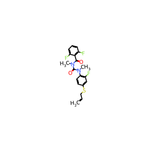 C=CCSc1ccc(N(C)C(=O)N(C)C(=O)c2c(F)cccc2F)c(F)c1